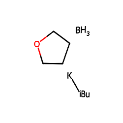 B.C1CCOC1.CC[CH](C)[K]